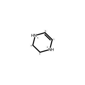 [C]1=CNCCN1